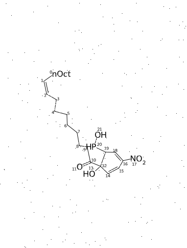 CCCCCCCC/C=C\CCCCCCCC(=O)C1(O)C=CC([N+](=O)[O-])=CC1PO